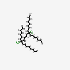 CCCCCCCCC(Cl)(CCCCCCC)CCCCC(Cl)(CCCCCCC)CCCCCCCC